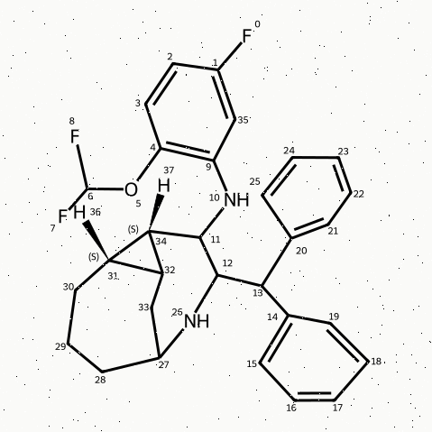 Fc1ccc(OC(F)F)c(NC2C(C(c3ccccc3)c3ccccc3)NC3CCC[C@H]4C(C3)[C@@H]24)c1